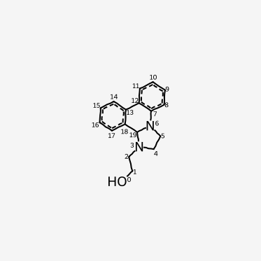 OCCN1CCN2c3ccccc3-c3ccccc3C12